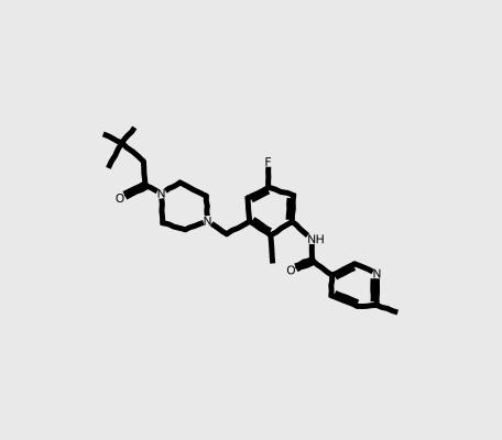 Cc1ccc(C(=O)Nc2cc(F)cc(CN3CCN(C(=O)CC(C)(C)C)CC3)c2C)cn1